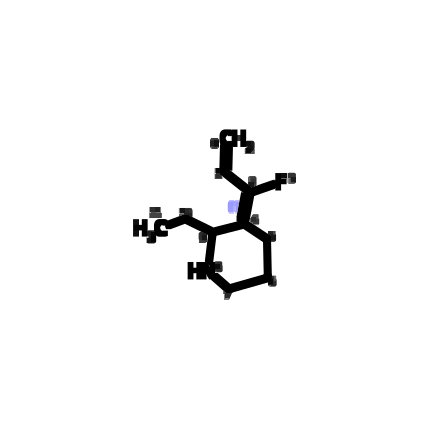 C=C/C(F)=C1/CCCNC1CC